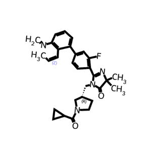 C=Nc1cccc(-c2ccc(C3=NC(C)(C)C(=O)N3C[C@@H]3CCN(C(=O)C4CC4)C3)c(F)c2)c1/C=C\C